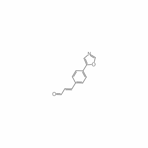 O=CC=Cc1ccc(-c2cnco2)cc1